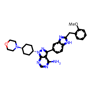 COc1ccccc1Cc1nc2cc(-c3nn([C@H]4CC[C@H](N5CCOCC5)CC4)c4ncnc(N)c34)ccc2[nH]1